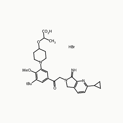 Br.COc1c(N2CCC(OC(C)C(=O)O)CC2)cc(C(=O)CN2Cc3ccc(C4CC4)nc3C2=N)cc1C(C)(C)C